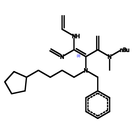 C=CN/C(N=C)=C(\C(=C)N(C)CCCC)N(CCCCC1CCCC1)Cc1ccccc1